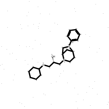 O[C@@H](COC1CCCCC1)CN1CCC2CC1CN2c1ccccc1